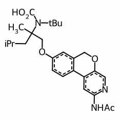 CC(=O)Nc1cc2c(cn1)OCc1cc(OCC(C)(CC(C)C)N(C(=O)O)C(C)(C)C)ccc1-2